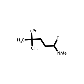 CCCC(C)(C)CCC(F)NC